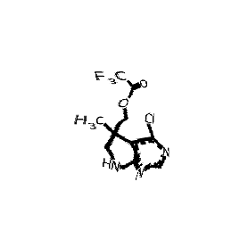 CC1(COC(=O)C(F)(F)F)CNc2ncnc(Cl)c21